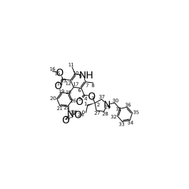 CC[C@]1(OC(=O)C2=C(C)NC(C)=C(C(=O)OC)C2c2cccc([N+](=O)[O-])c2)CCN(Cc2ccccc2)C1